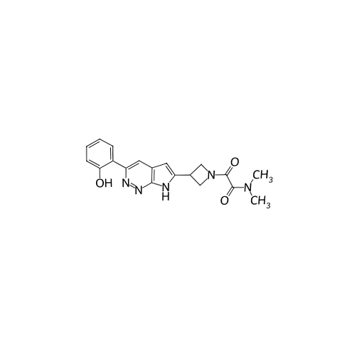 CN(C)C(=O)C(=O)N1CC(c2cc3cc(-c4ccccc4O)nnc3[nH]2)C1